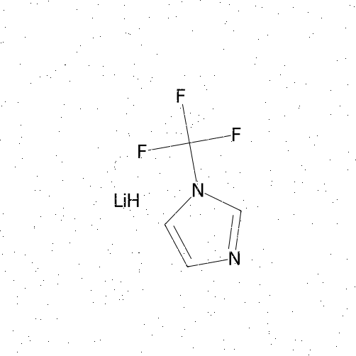 FC(F)(F)n1ccnc1.[LiH]